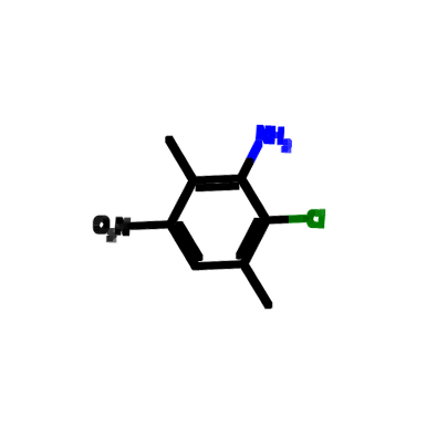 Cc1cc([N+](=O)[O-])c(C)c(N)c1Cl